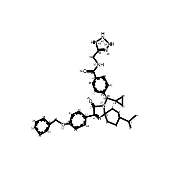 CC(C)C1CCC2(CC1)N=C(c1ccc(OCc3ccccc3)cc1)C(=O)N2[C@@H](c1ccc(C(=O)NCC2=NNNN2)cc1)C1CC1